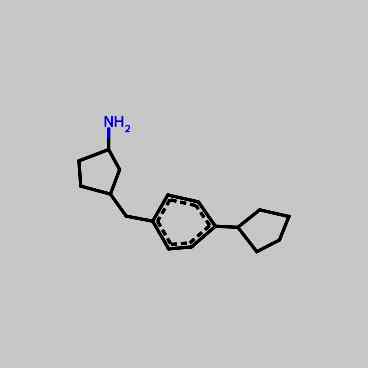 NC1CCC(Cc2ccc(C3CCCC3)cc2)C1